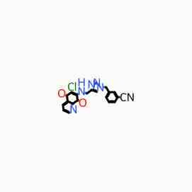 N#Cc1cccc(Cn2cc(CNC3=C(Cl)C(=O)c4cccnc4C3=O)nn2)c1